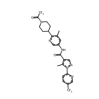 Cc1cc(NC(=O)c2cnn(-c3ccc(C(F)(F)F)cn3)c2C)cnc1C1CCN(C(=O)C(F)(F)F)CC1